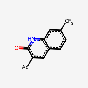 CC(=O)c1cc2ccc(C(F)(F)F)cc2[nH]c1=O